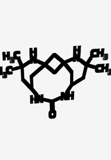 CC1(C)CC2CC3(CC4(CC(CC(C)(C)N4)NC(=O)N2)C3)N1